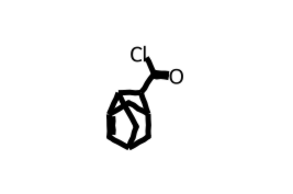 O=C(Cl)C1C2CC3=CC(C2)CC31